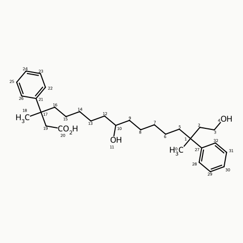 CC(CCO)(CCCCCC(O)CCCCCC(C)(CC(=O)O)c1ccccc1)c1ccccc1